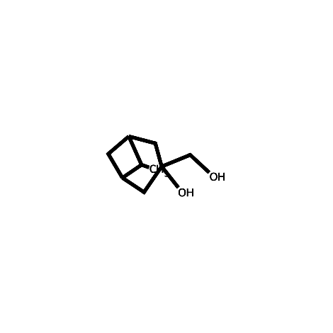 CC1C2CC1CC(O)(CO)C2